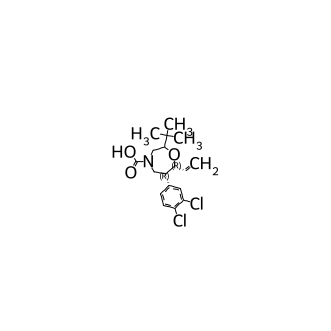 C=C[C@H]1OC(C(C)(C)C)CN(C(=O)O)C[C@H]1c1ccc(Cl)c(Cl)c1